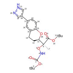 CC(C)(C)OC(=O)NO[C@](C)(C(=O)OC(C)(C)C)[C@H]1CCc2cc(-c3cn[nH]c3)ccc2O1